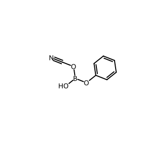 N#COB(O)Oc1ccccc1